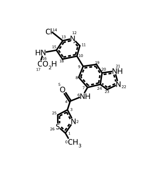 Cc1nc(C(=O)Nc2cc(-c3cnc(Cl)c(NC(=O)O)c3)cc3[nH]ncc23)cs1